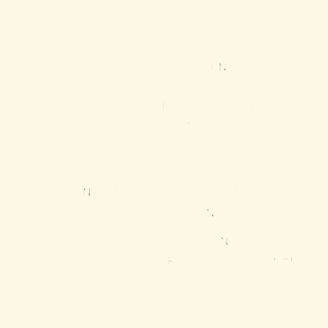 N#Cc1ccc(-c2cc(C=O)nn2-c2ccc(N3CCCC3)cc2F)cc1F